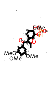 COc1cc(C(=O)c2c(C)oc3c(O[PH](=O)O)c(OC)ccc23)cc(OC)c1OC